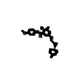 COc1ccc(CNc2cc(OC[C@H]3C[C@@H]3c3ccc(C)cn3)nn(C)c2=O)cc1